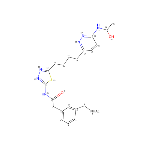 CC(=O)NCc1cccc(CC(=O)Nc2nnc(CCCCc3ccc(NC(C)O)nn3)s2)c1